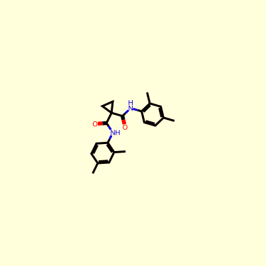 Cc1ccc(NC(=O)C2(C(=O)Nc3ccc(C)cc3C)CC2)c(C)c1